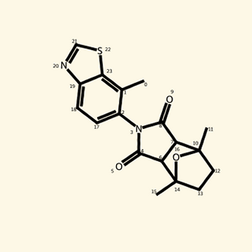 Cc1c(N2C(=O)C3C(C2=O)C2(C)CCC3(C)O2)ccc2ncsc12